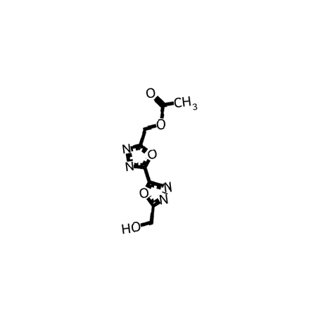 CC(=O)OCc1nnc(-c2nnc(CO)o2)o1